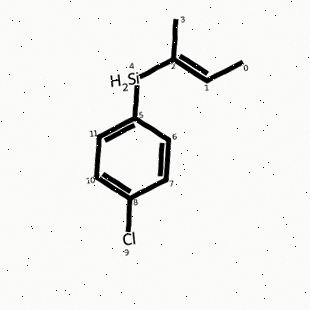 CC=C(C)[SiH2]c1ccc(Cl)cc1